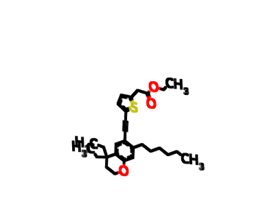 CCCCCCc1cc2c(cc1C#Cc1ccc(CC(=O)OCC)s1)C(CC)(CC)CCO2